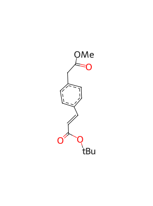 COC(=O)Cc1ccc(C=CC(=O)OC(C)(C)C)cc1